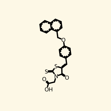 O=C(O)CN1C(=O)C(=Cc2ccc(OCc3cccc4ccccc34)cc2)SC1=S